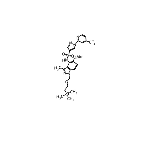 COc1ccc2c(c(C)nn2COCC[Si](C)(C)C)c1NS(=O)(=O)c1cnn(-c2cc(C(F)(F)F)ccn2)c1